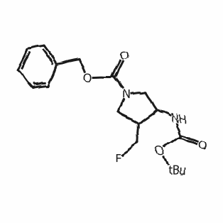 CC(C)(C)OC(=O)NC1CN(C(=O)OCc2ccccc2)CC1CF